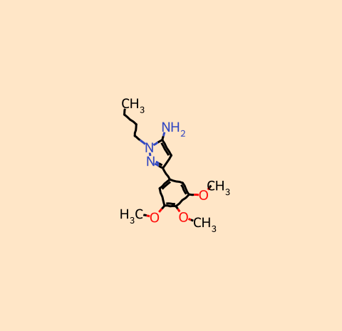 CCCCn1nc(-c2cc(OC)c(OC)c(OC)c2)cc1N